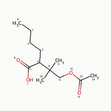 CCCCC(C(=O)O)C(C)(C)COC(C)=O